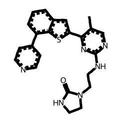 Cc1cnc(NCCN2CCNC2=O)nc1-c1cc2cccc(-c3ccncc3)c2s1